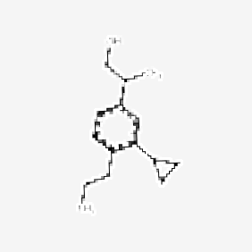 CCCc1ccc([C](C)CO)cc1C1CC1